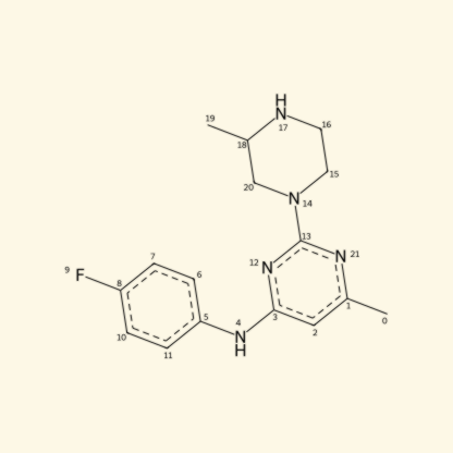 Cc1cc(Nc2ccc(F)cc2)nc(N2CCNC(C)C2)n1